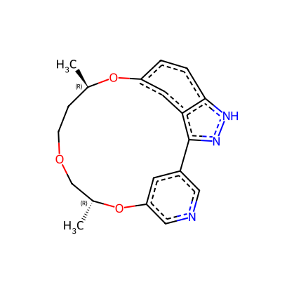 C[C@@H]1CCOC[C@@H](C)Oc2cncc(c2)-c2n[nH]c3ccc(cc23)O1